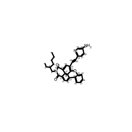 CCCCC(CC)Cn1c(=O)c2ccc3c4ccccc4oc4c(C#Cc5ccc(N)cn5)cc(c1=O)c2c43